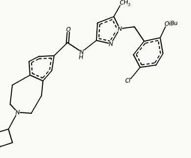 Cc1cc(NC(=O)c2ccc3c(c2)CCN(C2CCC2)CC3)nn1Cc1cc(Cl)ccc1OCC(C)C